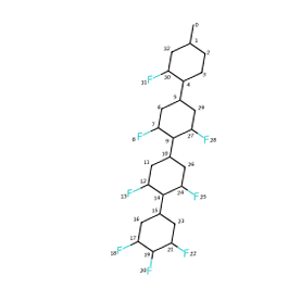 CC1CCC(C2CC(F)C(C3CC(F)C(C4CC(F)C(F)C(F)C4)C(F)C3)C(F)C2)C(F)C1